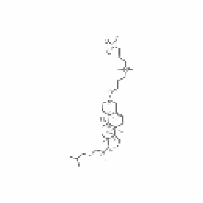 CC(C)CCC[C@@H](C)[C@H]1CC[C@H]2[C@@H]3CC=C4C[C@@H](OCCC[N+](C)(C)CCCS(=O)(=O)[O-])CC[C@]4(C)[C@H]3CC[C@]12C